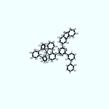 c1ccc(-c2cccc(-c3nc(-c4ccc5sc6ccccc6c5c4)nc(-c4cccc5c4-c4ccccc4C54c5ccccc5-c5ccccc5-c5ccccc54)n3)c2)cc1